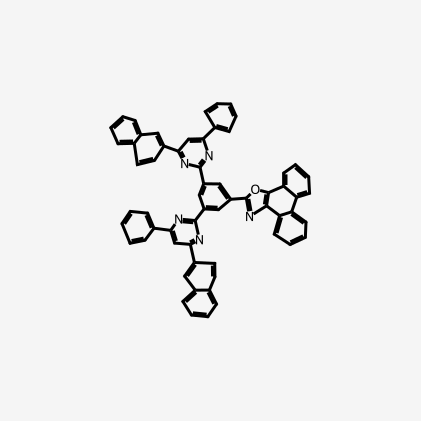 c1ccc(-c2cc(-c3ccc4ccccc4c3)nc(-c3cc(-c4nc(-c5ccccc5)cc(-c5ccc6ccccc6c5)n4)cc(-c4nc5c6ccccc6c6ccccc6c5o4)c3)n2)cc1